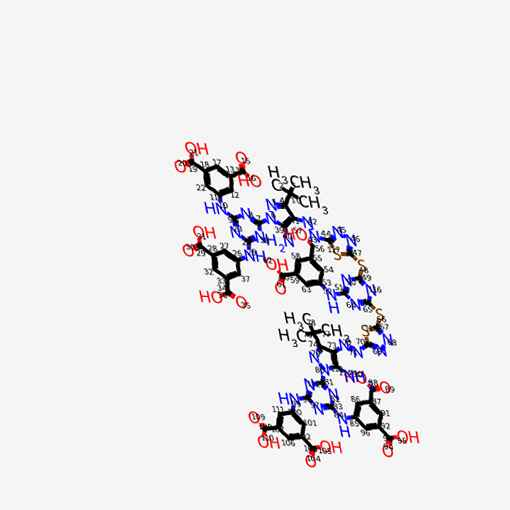 CC(C)(C)c1nn(-c2nc(Nc3cc(C(=O)O)cc(C(=O)O)c3)nc(Nc3cc(C(=O)O)cc(C(=O)O)c3)n2)c(N)c1N=Nc1nnc(Sc2nc(Nc3cc(CO)cc(C(=O)O)c3)nc(Sc3nnc(N=Nc4c(C(C)(C)C)nn(-c5nc(Nc6cc(C(=O)O)cc(C(=O)O)c6)nc(Nc6cc(C(=O)O)cc(C(=O)O)c6)n5)c4N)s3)n2)s1